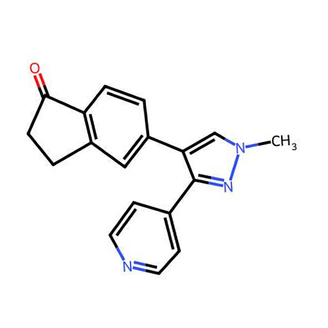 Cn1cc(-c2ccc3c(c2)CCC3=O)c(-c2ccncc2)n1